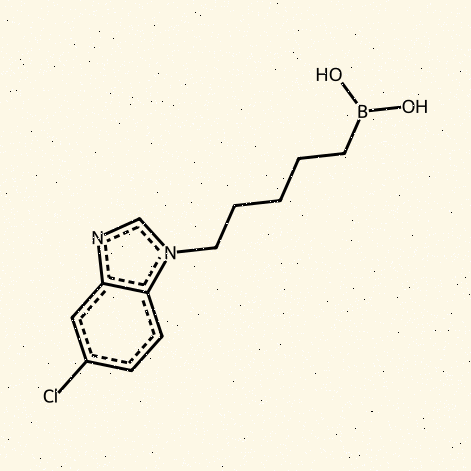 OB(O)CCCCCn1cnc2cc(Cl)ccc21